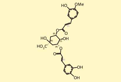 COc1ccc(/C=C/C(=O)O[C@@H]2C[C@@](O)(C(=O)O)C[C@@H](OC(=O)/C=C/c3ccc(O)c(O)c3)[C@@H]2O)cc1O